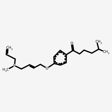 C=CCN(C)CC=CCOc1ccc(C(=O)CCCC(C)C)cc1